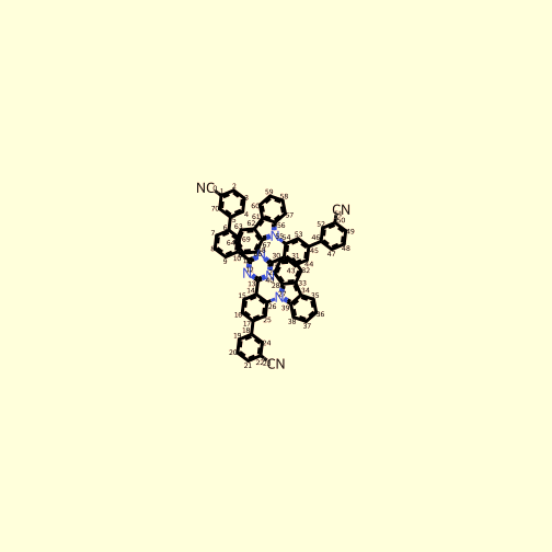 N#Cc1cccc(-c2cccc(-c3nc(-c4ccc(-c5cccc(C#N)c5)cc4-n4c5ccccc5c5ccccc54)nc(-c4ccc(-c5cccc(C#N)c5)cc4-n4c5ccccc5c5ccccc54)n3)c2)c1